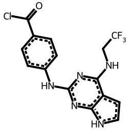 O=C(Cl)c1ccc(Nc2nc(NCC(F)(F)F)c3cc[nH]c3n2)cc1